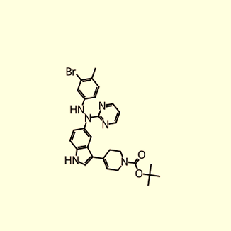 Cc1ccc(NN(c2ccc3[nH]cc(C4=CCN(C(=O)OC(C)(C)C)CC4)c3c2)c2ncccn2)cc1Br